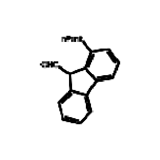 CCCCCc1cccc2c1C([C]=O)c1ccccc1-2